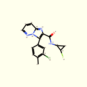 Cc1ccc(-c2c(C(=O)NC3CC3F)nc3cccnn23)cc1Cl